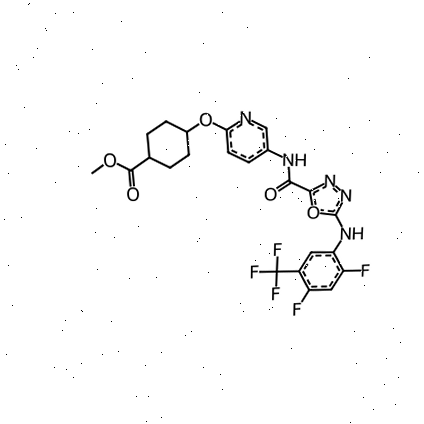 COC(=O)C1CCC(Oc2ccc(NC(=O)c3nnc(Nc4cc(C(F)(F)F)c(F)cc4F)o3)cn2)CC1